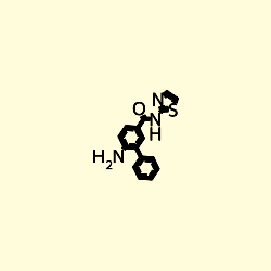 Nc1ccc(C(=O)Nc2nccs2)cc1-c1ccccc1